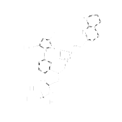 Cc1cc(C)n(-c2cccc(C(CC(=O)OC(C)(C)C)CN3CC[C@@H](CCc4ccc5cccnc5n4)C3)c2)n1